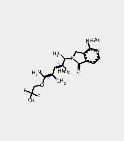 CN/C(=C\C(C)=C(/N)OCC(C)(F)F)C(C)N1Cc2c(ccnc2NC(C)=O)C1=O